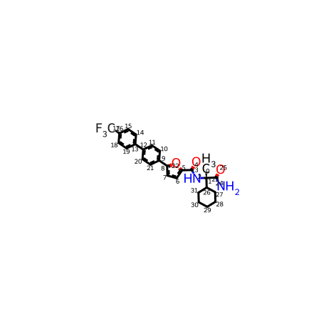 C[C@@](NC(=O)c1ccc(-c2ccc(-c3ccc(C(F)(F)F)cc3)cc2)o1)(C(N)=O)C1CCCCC1